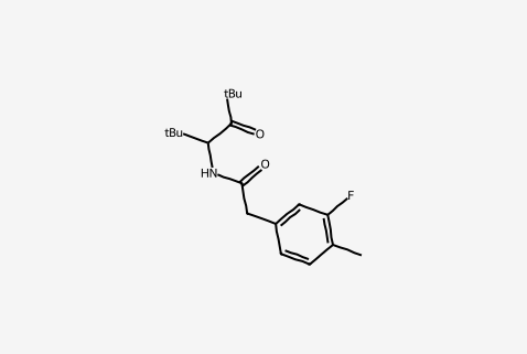 Cc1ccc(CC(=O)NC(C(=O)C(C)(C)C)C(C)(C)C)cc1F